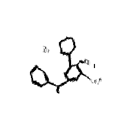 CC(c1ccccc1)c1cc(C(=O)O)c(O)c(C2CCCCC2)c1.[Zn]